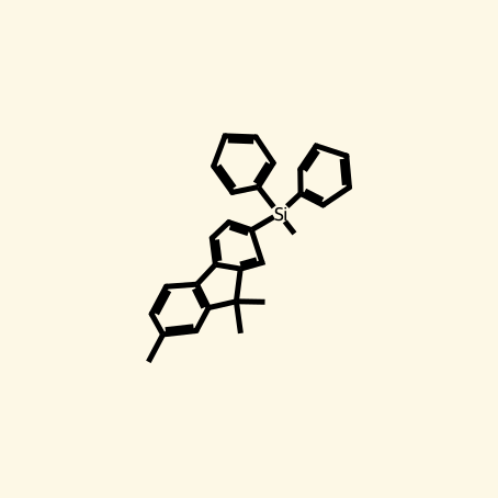 Cc1ccc2c(c1)C(C)(C)c1cc([Si](C)(c3ccccc3)c3ccccc3)ccc1-2